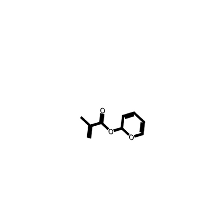 C=C(C)C(=O)OC1C=CC=CO1